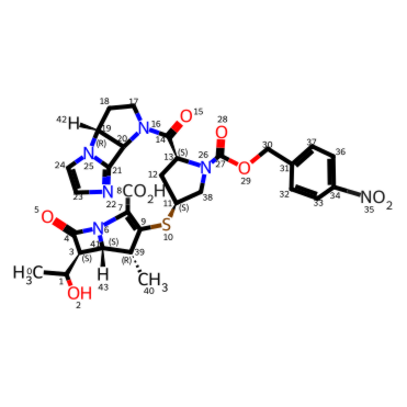 CC(O)[C@H]1C(=O)N2C(C(=O)O)=C(S[C@H]3C[C@@H](C(=O)N4CC[C@@H]5C4c4nccn45)N(C(=O)OCc4ccc([N+](=O)[O-])cc4)C3)[C@H](C)[C@H]12